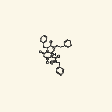 CN1CC(=O)N2[C@@H](Cc3ccccc3)C(=O)N(CCc3ccccc3)C[C@@H]2N1C(=O)NCc1ccccc1